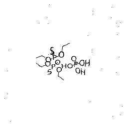 CCOP(=S)(OCC)OP(=S)(OCC)OCC.O=P(O)(O)O